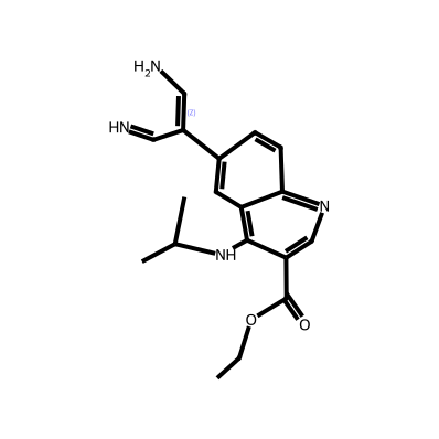 CCOC(=O)c1cnc2ccc(/C(C=N)=C/N)cc2c1NC(C)C